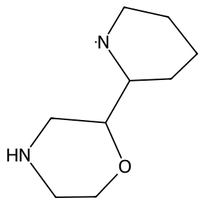 C1CCC(C2CNCCO2)[N]C1